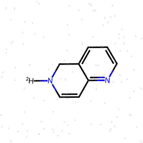 [2H]N1C=Cc2ncccc2C1